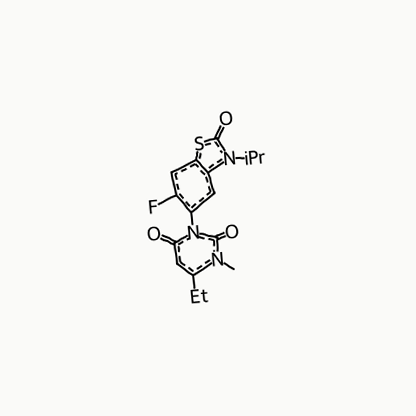 CCc1cc(=O)n(-c2cc3c(cc2F)sc(=O)n3C(C)C)c(=O)n1C